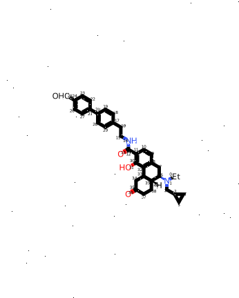 CCN(CC1CC1)[C@@H]1Cc2ccc(C(=O)NCCc3ccc(-c4ccc(C=O)cc4)cc3)c(O)c2C2CC(=O)CC[C@H]21